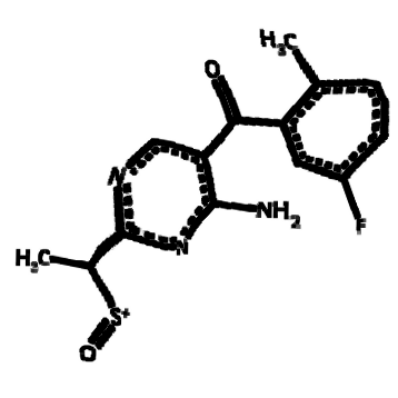 Cc1ccc(F)cc1C(=O)c1cnc(C(C)[S+]=O)nc1N